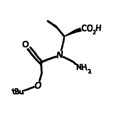 C[C@@H](C(=O)O)N(N)C(=O)OC(C)(C)C